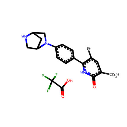 CCc1cc(C(=O)O)c(=O)[nH]c1-c1ccc(N2CC3CC2CN3)cc1.O=C(O)C(F)(F)F